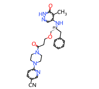 Cc1c(N[C@@H](COCCC(=O)N2CCN(c3ccc(C#N)cn3)CC2)Cc2ccccc2)cn[nH]c1=O